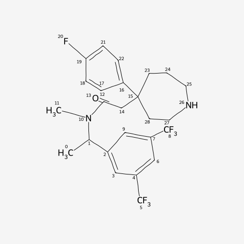 CC(c1cc(C(F)(F)F)cc(C(F)(F)F)c1)N(C)C(=O)CC1(c2ccc(F)cc2)CCCNCC1